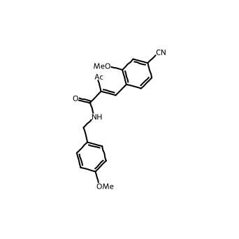 COc1ccc(CNC(=O)C(=Cc2ccc(C#N)cc2OC)C(C)=O)cc1